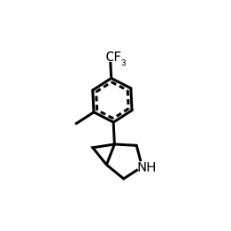 Cc1cc(C(F)(F)F)ccc1C12CNCC1C2